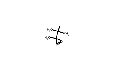 CC(C)(I)C1(C)N=N1